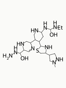 CCNC(O)NC1CC(C2NC(C3CNN(C)C3)CS2)C(C2CNC(C(O)NN)C=N2)CN1